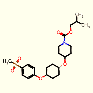 CC(C)COC(=O)N1CCC(O[C@H]2CC[C@H](Oc3ccc(S(C)(=O)=O)cc3)CC2)CC1